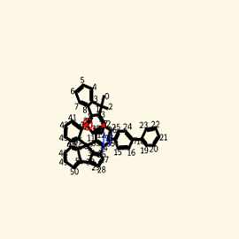 CC1(C)c2ccccc2-c2ccc(N(c3ccc(-c4ccccc4)cc3)c3cccc4c3C3(c5ccccc5Oc5ccccc53)c3ccccc3-4)cc21